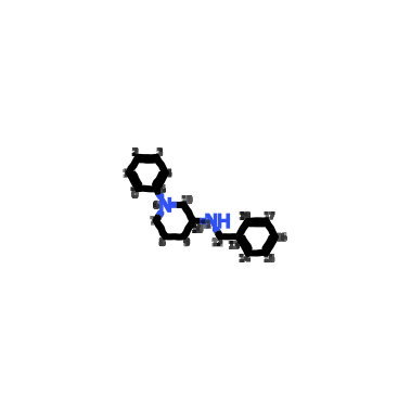 [c]1ccccc1N1CCCC(NCc2ccccc2)C1